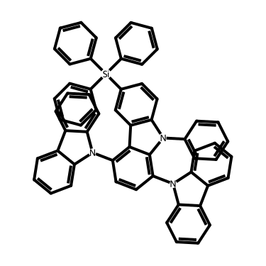 c1ccc(-n2c3ccc([Si](c4ccccc4)(c4ccccc4)c4ccccc4)cc3c3c(-n4c5ccccc5c5ccccc54)ccc(-n4c5ccccc5c5ccccc54)c32)cc1